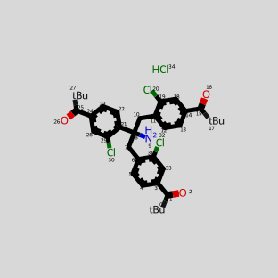 CC(C)(C)C(=O)c1ccc(CC(N)(Cc2ccc(C(=O)C(C)(C)C)cc2Cl)c2ccc(C(=O)C(C)(C)C)cc2Cl)c(Cl)c1.Cl